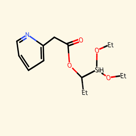 CCO[SiH](OCC)C(CC)OC(=O)Cc1ccccn1